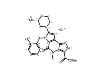 COC(=O)c1[nH]nc2c3nc(N4CCC[C@@H](N)C4)n(Cc4ccccc4Cl)c3c(=O)n(C)c12.Cl